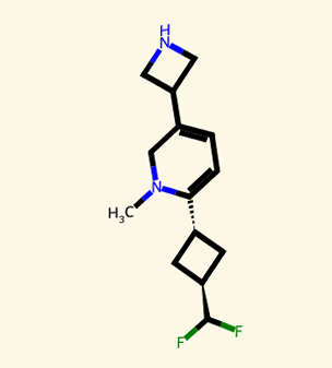 CN1CC(C2CNC2)=CC=C1[C@H]1C[C@H](C(F)F)C1